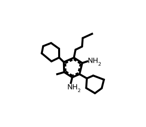 CCCCc1c(N)c(C2CCCCC2)c(N)c(C)c1C1CCCCC1